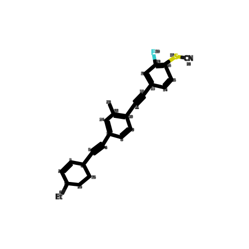 CCC1C=CC(C#Cc2ccc(C#Cc3ccc(SC#N)c(F)c3)c(C)c2)CC1